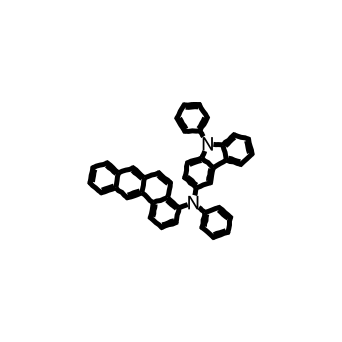 c1ccc(N(c2ccc3c(c2)c2ccccc2n3-c2ccccc2)c2cccc3c2ccc2cc4ccccc4cc23)cc1